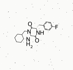 N[C@@H]1CCCCC1CN1CC(=O)N[C@@H](Cc2ccc(F)cc2)C1=O